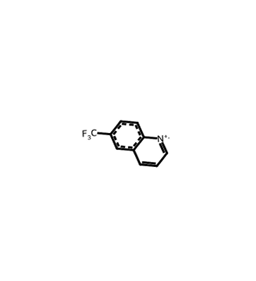 FC(F)(F)c1ccc2c(c1)C=CC=[N+]2